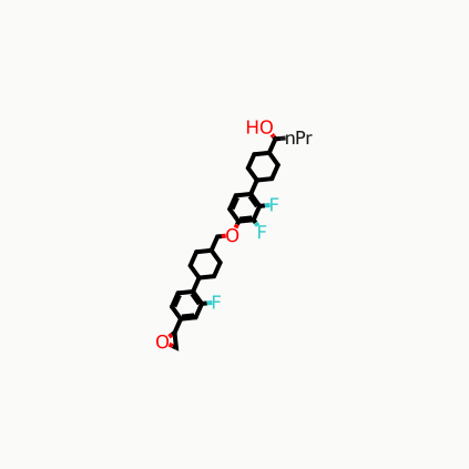 CCCC(O)C1CCC(c2ccc(OCC3CCC(c4ccc(C5CO5)cc4F)CC3)c(F)c2F)CC1